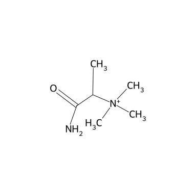 CC(C(N)=O)[N+](C)(C)C